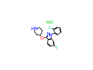 Cl.Fc1ccc2c(OC3CCNCC3)nn(-c3ccccc3F)c2c1